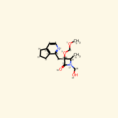 COCO[C@@]1(Cc2nccc3c2CCC3)C(=O)N(CO)C1C